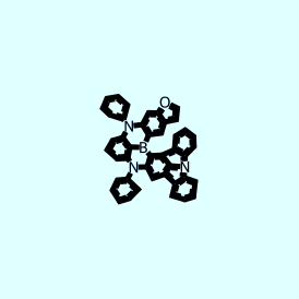 c1ccc(N2c3cc4occc4cc3B3c4c2cccc4N(c2ccccc2)c2cc4c5ccccc5n5c6ccccc6c(c23)c45)cc1